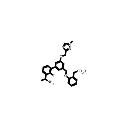 CC(N)c1cccc(-c2cc(COc3ccccc3CC(=O)O)cc(OCc3ncn(C)n3)c2)c1F